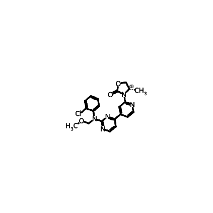 COCN(c1nccc(-c2ccnc(N3C(=O)OC[C@@H]3C)c2)n1)c1ccccc1Cl